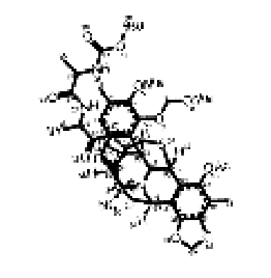 COCOc1c(OC)c(C)cc2c1[C@@H]1C3[C@@H]4SC[C@H](NC(=O)C(NC(=O)C(C)NC(=O)OC(C)(C)C)C(C)C)C(=O)OC[C@@H](c5c6c(c(C)c(OC(C)=O)c54)OCO6)N3[C@@H](C#N)[C@H](C2)N1C